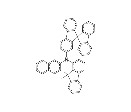 CC1(C)c2ccccc2-c2cccc(N(c3ccc4c(c3)C3(c5ccccc5-c5ccccc53)c3ccccc3-4)c3ccc4ccccc4c3)c21